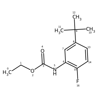 CCOC(=O)Nc1cc(C(C)(C)C)ccc1F